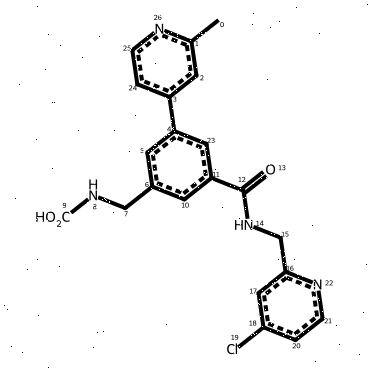 Cc1cc(-c2cc(CNC(=O)O)cc(C(=O)NCc3cc(Cl)ccn3)c2)ccn1